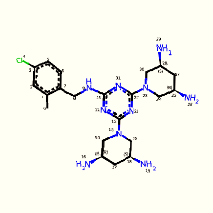 Cc1cc(Cl)ccc1CNc1nc(N2C[C@H](N)C[C@H](N)C2)nc(N2C[C@H](N)C[C@H](N)C2)n1